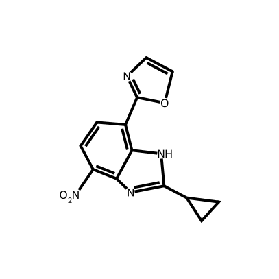 O=[N+]([O-])c1ccc(-c2ncco2)c2[nH]c(C3CC3)nc12